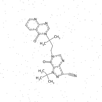 CC(C)(C)n1nc(C#N)c2ncn(CCC(C)(C)n3cnc4ncccc4c3=O)c(=O)c21